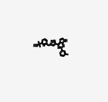 Cc1cccc(-c2nc(-c3cn(Cc4cccc(C(C)(C)O)n4)nn3)c3cc[nH]c3n2)c1